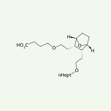 CCCCCCCOCC[C@@H]1[C@H](CCOCCCC(=O)O)[C@@H]2CC[C@H]1O2